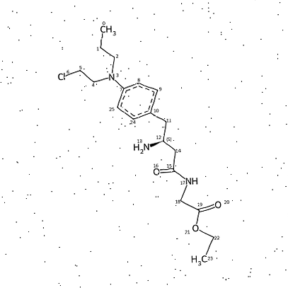 CCCN(CCCl)c1ccc(C[C@H](N)CC(=O)NCC(=O)OCC)cc1